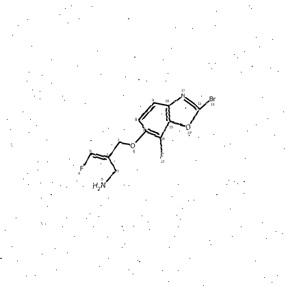 NC/C(=C\F)COc1ccc2nc(Br)oc2c1F